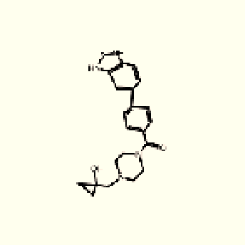 O=C(c1ccc(-c2ccc3c(c2)NSN3)cc1)N1CCN(CC2(O)CC2)CC1